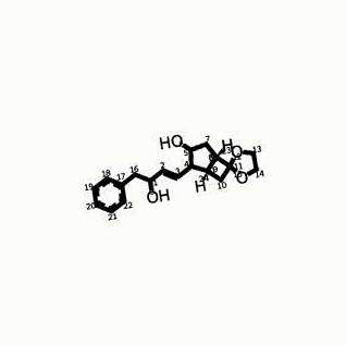 OC(C=CC1C(O)C[C@H]2[C@H]1CC21OCCO1)Cc1ccccc1